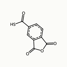 O=C(S)c1ccc2c(c1)C(=O)OC2=O